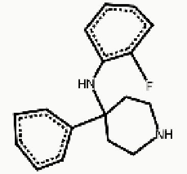 Fc1ccccc1NC1(c2ccccc2)CCNCC1